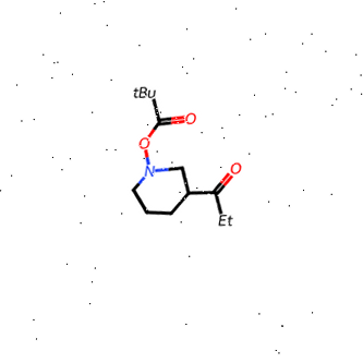 CCC(=O)C1CCCN(OC(=O)C(C)(C)C)C1